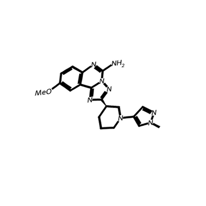 COc1ccc2nc(N)n3nc([C@@H]4CCCN(c5cnn(C)c5)C4)nc3c2c1